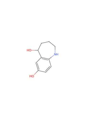 Oc1ccc2c(c1)C(O)CCCN2